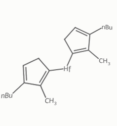 CCCCC1=CC[C]([Hf][C]2=C(C)C(CCCC)=CC2)=C1C